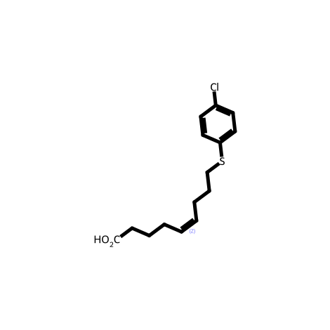 O=C(O)CCC/C=C\CCCSc1ccc(Cl)cc1